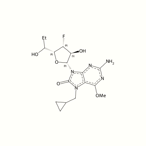 CCC(O)[C@H]1O[C@@H](n2c(=O)n(CC3CC3)c3c(OC)nc(N)nc32)[C@H](O)[C@H]1F